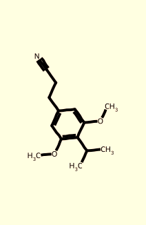 COc1cc(CCC#N)cc(OC)c1C(C)C